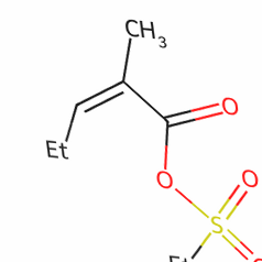 CCC=C(C)C(=O)OS(=O)(=O)CC